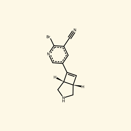 N#Cc1cc(C2=C[C@@H]3CNC[C@H]23)cnc1Br